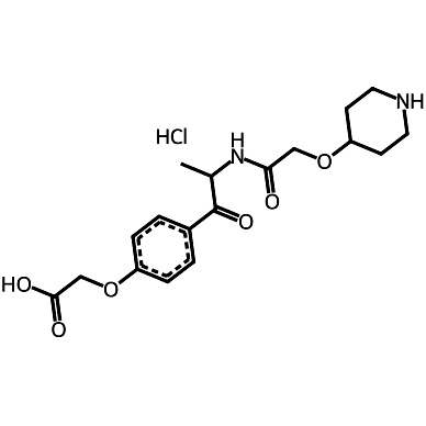 CC(NC(=O)COC1CCNCC1)C(=O)c1ccc(OCC(=O)O)cc1.Cl